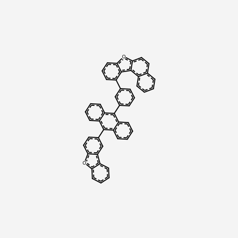 c1cc(-c2c3ccccc3c(-c3ccc4oc5ccccc5c4c3)c3ccccc23)cc(-c2cccc3oc4ccc5ccccc5c4c23)c1